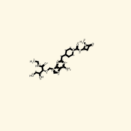 CCNC(=O)[C@@H](OCn1cnc2c(N)nc(CC3CCN(C(=O)OC4CC(=O)N4C)CC3)nc21)C(O)CO